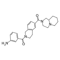 Nc1cccc(C(=O)N2CCc3cc(C(=O)N4CCN5CCCCC5C4)ccc3C2)c1